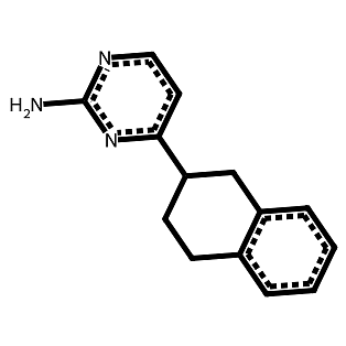 Nc1nccc(C2CCc3ccccc3C2)n1